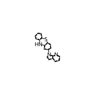 c1ccc2c(c1)Nc1cc(-n3ccc4cccnc43)ccc1S2